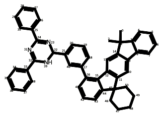 CC1(C)c2ccccc2-c2cc3c(cc21)-c1c(-c2cccc(C4N=C(c5ccccc5)N=C(c5ccccc5)N4)c2)cccc1C31CCCCC1